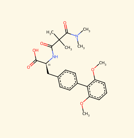 COc1cccc(OC)c1-c1ccc(C[C@H](NC(=O)C(C)(C)C(=O)N(C)C)C(=O)O)cc1